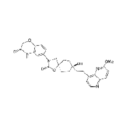 COc1ccc2nccc(CC[C@]3(O)CC[C@@]4(CC3)CN(c3ccc5c(c3)NC(=O)CO5)C(=O)O4)c2n1